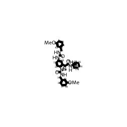 COc1cccc(CNC(=O)Nc2ccc3c(c2)c(C(=O)N[C@@H]2CN4CCC2CC4)nn3C(=O)NCc2cccc(OC)c2)c1